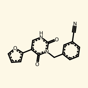 N#Cc1cccc(Cn2c(=O)[nH]cc(-c3ccco3)c2=O)c1